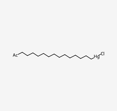 CC(=O)CCCCCCCCCCCCC[CH2][Hg][Cl]